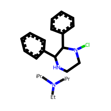 CCN(C(C)C)C(C)C.ClN1CCNC(c2ccccc2)C1c1ccccc1